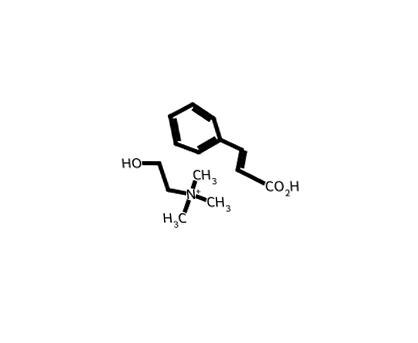 C[N+](C)(C)CCO.O=C(O)C=Cc1ccccc1